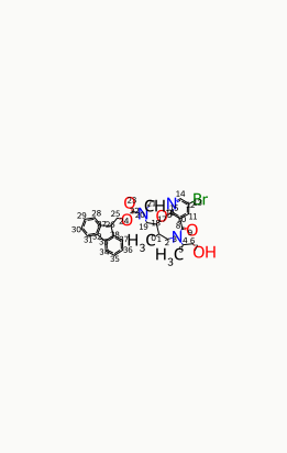 CC1CN(C(C)CO)C(=O)c2cc(Br)cnc2OC1CN(C)C(=O)OCC1c2ccccc2-c2ccccc21